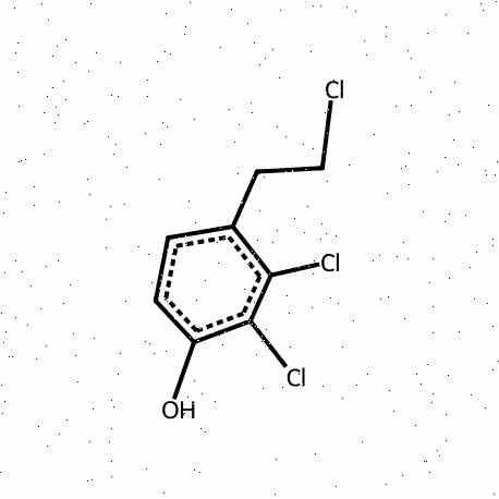 Oc1ccc(CCCl)c(Cl)c1Cl